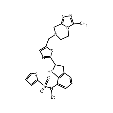 CCN(c1cccc2c1NC(c1ncc(CN3CCn4c(C)nnc4C3)s1)C2)S(=O)(=O)c1cccs1